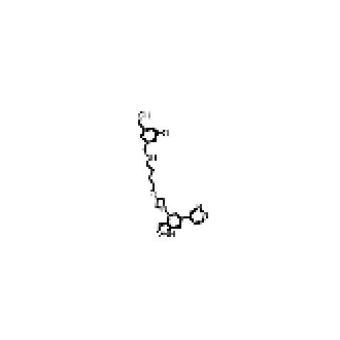 OCc1cc(Cl)cc(CNCCCCOC2CN(c3cc(-c4ccnnc4)cc4[nH]ncc34)C2)c1